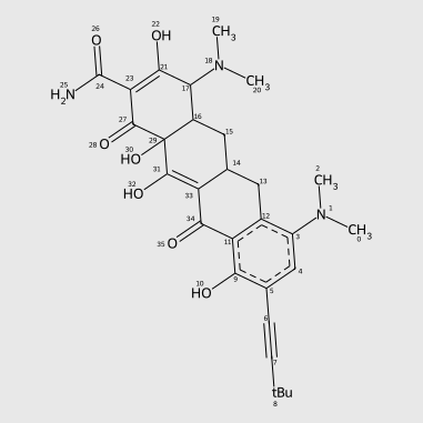 CN(C)c1cc(C#CC(C)(C)C)c(O)c2c1CC1CC3C(N(C)C)C(O)=C(C(N)=O)C(=O)C3(O)C(O)=C1C2=O